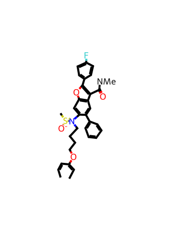 C/C=C\C(=C/C)OCCCCN(c1cc2oc(-c3ccc(F)cc3)c(C(=O)NC)c2cc1-c1ccccc1)[S+](C)[O-]